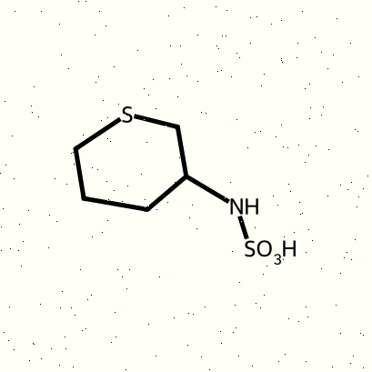 O=S(=O)(O)NC1CCCSC1